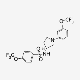 O=S(=O)(N[C@@H]1CCN(c2cccc(OC(F)(F)F)c2)C1)c1ccc(OC(F)(F)F)cc1